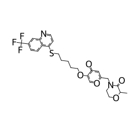 CC1OCCN(Cc2cc(=O)c(OCCCCCSc3ccnc4cc(C(F)(F)F)ccc34)co2)C1=O